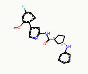 COc1cc(F)ccc1-c1ccnc(NC(=O)[C@@H]2CC[C@H](Nc3ccccc3)C2)c1